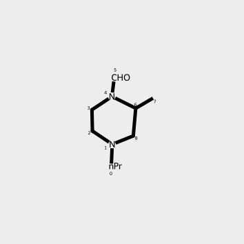 CCCN1CCN(C=O)C(C)C1